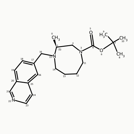 C[C@H]1CN(C(=O)OC(C)(C)C)CCCCN1Cc1ccc2cnccc2c1